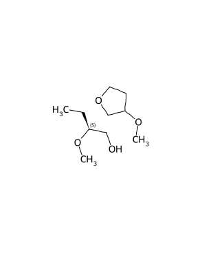 CC[C@@H](CO)OC.COC1CCOC1